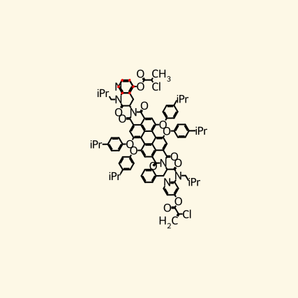 C=C(Cl)C(=O)Oc1ccnc(N(CC(C)C)C(=O)C(Cc2ccccc2)N2C(=O)c3cc(Oc4ccc(C(C)C)cc4)c4c5c(Oc6ccc(C(C)C)cc6)cc6c7c(cc(Oc8ccc(C(C)C)cc8)c(c8c(Oc9ccc(C(C)C)cc9)cc(c3c48)C2=O)c75)C(=O)N(C(Cc2ccccc2)C(=O)N(CC(C)C)c2cc(OC(=O)C(C)Cl)ccn2)C6=O)c1